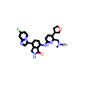 CC(C)N(C)Cc1nc(Nc2ccc(-c3cnc4cc(F)ccn34)c3c2C(=O)NC3)ccc1C1CCOC1